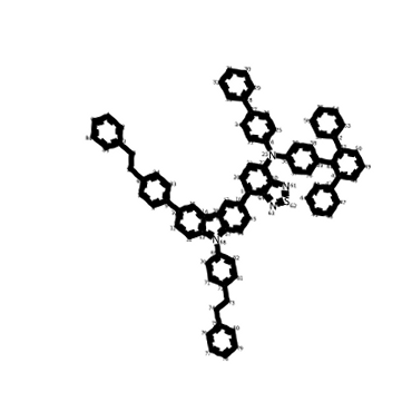 c1ccc(CCc2ccc(-c3ccc4c(c3)c3cc(-c5ccc(N(c6ccc(-c7ccccc7)cc6)c6ccc(-c7c(-c8ccccc8)cccc7-c7ccccc7)cc6)c6nsnc56)ccc3n4-c3ccc(CCc4ccccc4)cc3)cc2)cc1